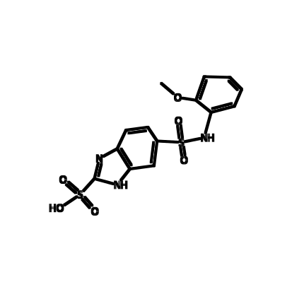 COc1ccccc1NS(=O)(=O)c1ccc2nc(S(=O)(=O)O)[nH]c2c1